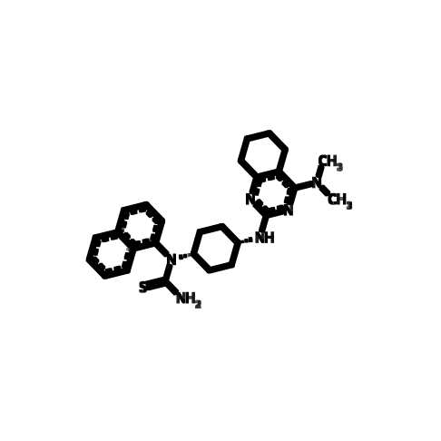 CN(C)c1nc(N[C@H]2CC[C@@H](N(C(N)=S)c3cccc4ccccc34)CC2)nc2c1CCCC2